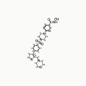 O=C(NO)c1cnc(N2CCN(S(=O)(=O)c3ccc(C4=C(CN5CCOCC5)SCC4)cc3)CC2)nc1